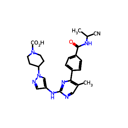 Cc1cnc(Nc2cnn(C3CCN(C(=O)O)CC3)c2)nc1-c1ccc(C(=O)NC(C)C#N)cc1